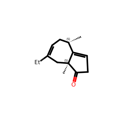 CCC1=CC[C@H](C)C2=CCC(=O)[C@@]2(C)C1